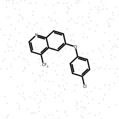 FC(F)(F)c1ccnc2ccc(Oc3ccc(Cl)cc3)cc12